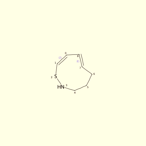 C1=C\SNCCC/C=C/1